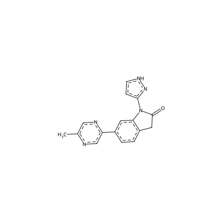 Cc1cnc(-c2ccc3c(c2)N(c2cc[nH]n2)C(=O)C3)cn1